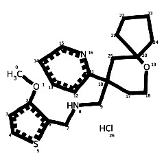 COc1ccsc1CNCC1(c2ccccn2)CCOC2(CCCC2)C1.Cl